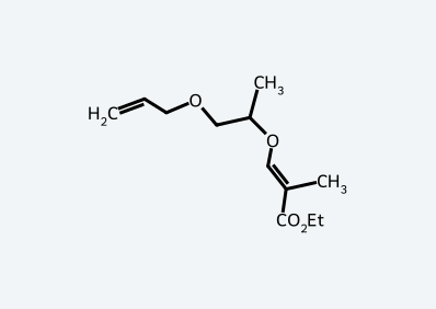 C=CCOCC(C)OC=C(C)C(=O)OCC